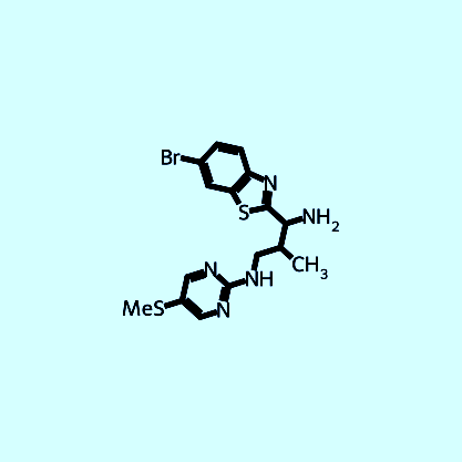 CSc1cnc(NCC(C)C(N)c2nc3ccc(Br)cc3s2)nc1